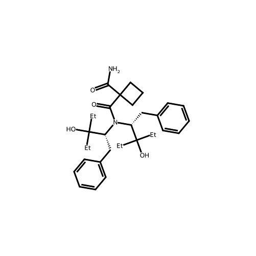 CCC(O)(CC)[C@@H](Cc1ccccc1)N(C(=O)C1(C(N)=O)CCC1)[C@H](Cc1ccccc1)C(O)(CC)CC